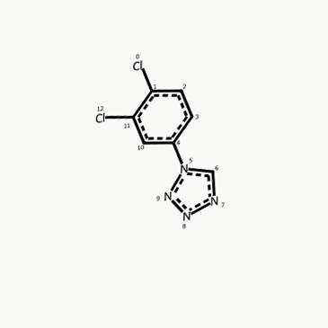 Clc1ccc(-n2cnnn2)cc1Cl